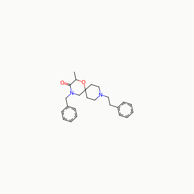 CC1OC2(CCN(CCc3ccccc3)CC2)CN(Cc2ccccc2)C1=O